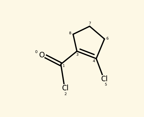 O=C(Cl)C1=C(Cl)CCC1